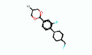 CCC1COC(c2ccc(C3CCC(CF)CC3)c(F)c2)OC1